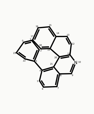 c1ccc(-c2cccc3cnc4ccc5ccccc5c4c23)cc1